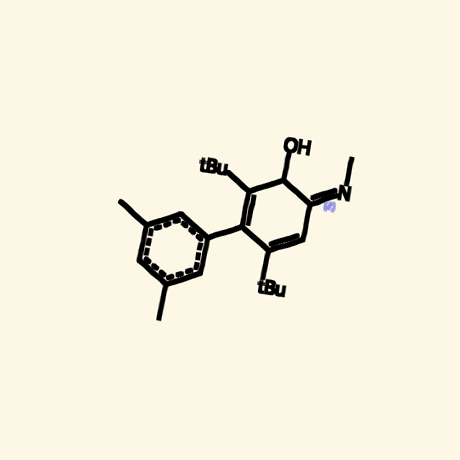 C/N=C1/C=C(C(C)(C)C)C(c2cc(C)cc(C)c2)=C(C(C)(C)C)C1O